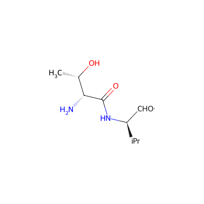 CC(C)[C@H]([C]=O)NC(=O)[C@H](N)[C@H](C)O